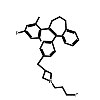 Cc1cc(F)cc(C)c1C1=C(c2ccc(CC3CN(CCCF)C3)cc2)c2ccccc2CCC1